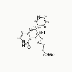 CCC1(COCCOC)C=c2c(cc[nH]c2=O)=NC1c1cccnc1